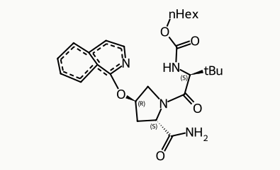 CCCCCCOC(=O)N[C@H](C(=O)N1C[C@H](Oc2nccc3ccccc23)C[C@H]1C(N)=O)C(C)(C)C